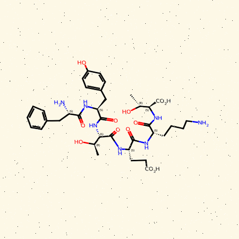 C[C@@H](O)[C@H](NC(=O)[C@H](CCCCN)NC(=O)[C@H](CCC(=O)O)NC(=O)[C@@H](NC(=O)[C@H](Cc1ccc(O)cc1)NC(=O)[C@@H](N)Cc1ccccc1)[C@@H](C)O)C(=O)O